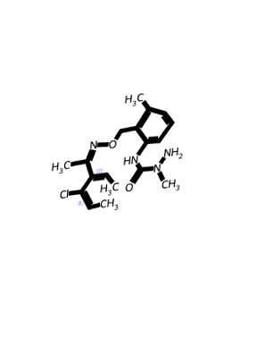 C/C=C(C(C)=NOCc1c(C)cccc1NC(=O)N(C)N)\C(Cl)=C/C